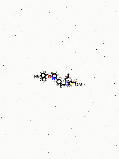 COC(=O)c1cc2c(nc(C3CC34CC=C(c3cccc(OCc5ccc(C#N)cc5C)n3)CC4)n2CC2CCO2)s1